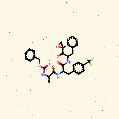 CC(NC(=O)OCc1ccccc1)C(=O)NC(Cc1ccc(C(F)(F)F)cc1)C(=O)NC(Cc1ccccc1)C(=O)C1(C)CO1